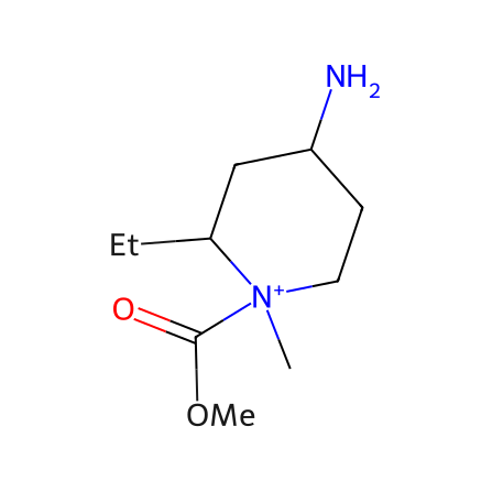 CCC1CC(N)CC[N+]1(C)C(=O)OC